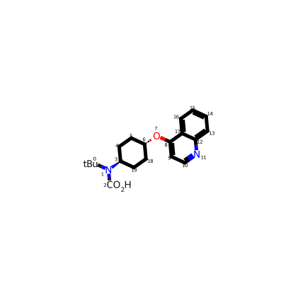 CC(C)(C)N(C(=O)O)[C@H]1CC[C@H](Oc2ccnc3ccccc23)CC1